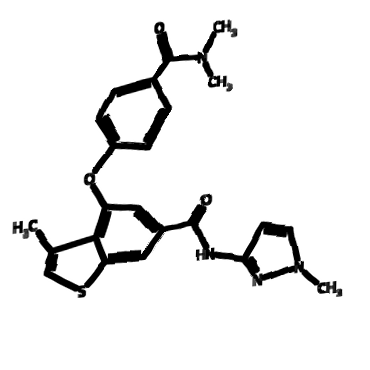 Cc1csc2cc(C(=O)Nc3ccn(C)n3)cc(Oc3ccc(C(=O)N(C)C)cc3)c12